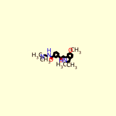 COc1ccc2c(c1)C(=CC(=O)c1cccc(C(=O)NCCN(C)C)c1)NC(C)(C)C2